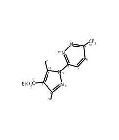 CCOC(=O)c1c(C)nn(-c2ccc(C(F)(F)F)nn2)c1C